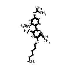 CCCCCCOc1nc(C)c(-c2ccc(OC(C)C)cc2OC)nc1NC